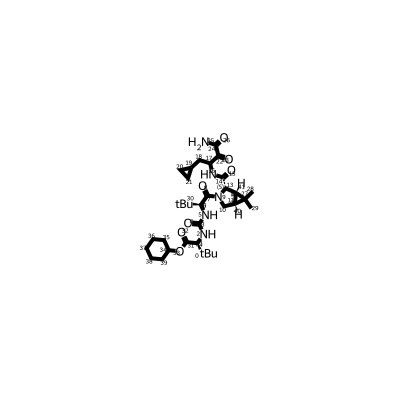 CC(C)(C)[C@H](NC(=O)N[C@H](C(=O)N1C[C@H]2[C@@H]([C@H]1C(=O)NC(CC1CC1)C(=O)C(N)=O)C2(C)C)C(C)(C)C)C(=O)OC1CCCCC1